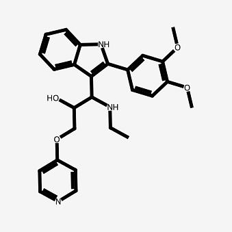 CCNC(c1c(-c2ccc(OC)c(OC)c2)[nH]c2ccccc12)C(O)COc1ccncc1